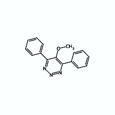 COc1c(-c2ccccc2)nnnc1-c1ccccc1